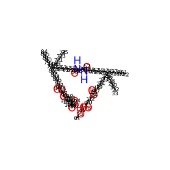 C=CCOCCOC(=O)CCCCCOC(=O)CCCCCCCCC(CCCCCCCC)C(CCCCCCCC)CCCCCCCCC(=O)NCCNC(=O)CCCCCCCCC(CCCCCCCC)C(CCCCCCCC)CCCCCCCCC(=O)OCCOc1ccc(C(=O)C(C)(C)O)cc1